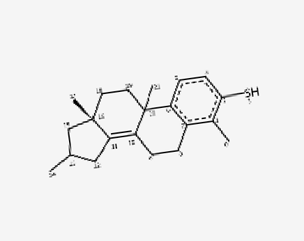 Cc1c(S)ccc2c1CCC1=C3CC(C)C[C@]3(C)CCC12C